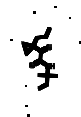 CCCC1(C(=O)C(=O)NC(C)(C)CC)CC1